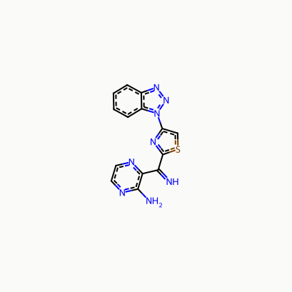 N=C(c1nc(-n2nnc3ccccc32)cs1)c1nccnc1N